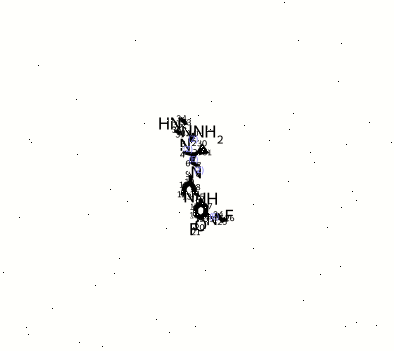 N/C(=C/N=C\C(=C\C=N/Cc1ccnc(Nc2ccc(OF)c(/N=C/CF)c2)c1)C1CC1)N1CCNCC1